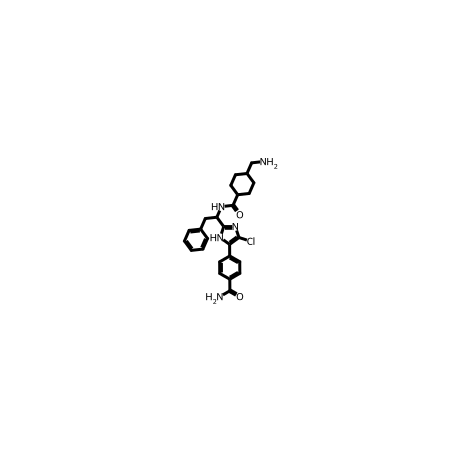 NCC1CCC(C(=O)NC(Cc2ccccc2)c2nc(Cl)c(-c3ccc(C(N)=O)cc3)[nH]2)CC1